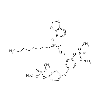 CCCCCCCC[S+]([O-])C(C)Cc1ccc2c(c1)OCO2.COP(=S)(OC)Oc1ccc(Sc2ccc(OP(=S)(OC)OC)cc2)cc1